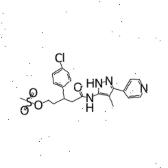 Cc1c(-c2ccncc2)n[nH]c1NC(=O)CC(CCOS(C)(=O)=O)c1ccc(Cl)cc1